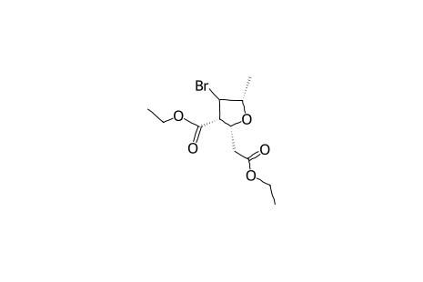 CCOC(=O)C[C@H]1O[C@@H](C)C(Br)[C@H]1C(=O)OCC